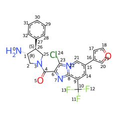 N[C@H]1CN(C(=O)c2nc3c(C(F)(F)F)cc(-c4ccoc4)cn3c2Cl)C[C@@H]1c1ccccc1